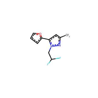 FC(F)Cn1nc(C(F)(F)F)cc1-c1ccco1